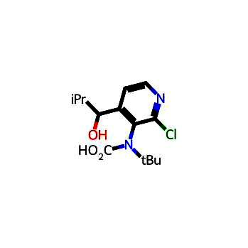 CC(C)C(O)c1ccnc(Cl)c1N(C(=O)O)C(C)(C)C